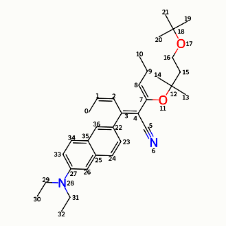 C\C=C/C(=C(C#N)\C(=C\CC)OC(C)(C)CCOC(C)(C)C)c1ccc2cc(N(CC)CC)ccc2c1